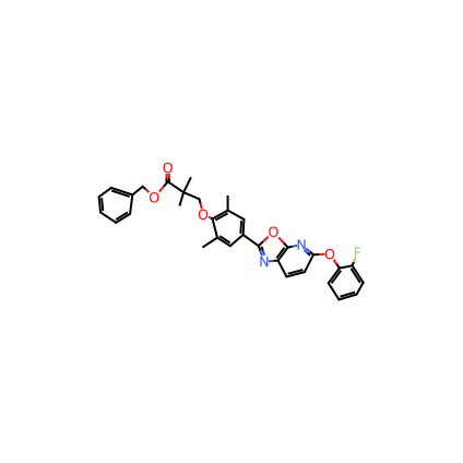 Cc1cc(-c2nc3ccc(Oc4ccccc4F)nc3o2)cc(C)c1OCC(C)(C)C(=O)OCc1ccccc1